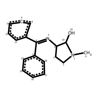 CN1CCC(N=C(c2ccccc2)c2ccccc2)C1O